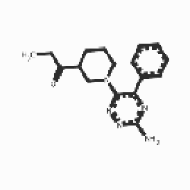 CCC(=O)C1CCCN(c2nnc(N)nc2-c2ccccc2)C1